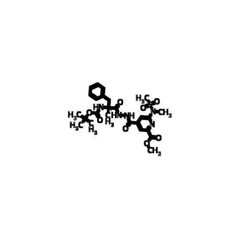 COC(=O)c1cc(C(=O)NNC(=O)[C@@](C)(Cc2ccccc2)NC(=O)OC(C)(C)C)cc(N(C)S(C)(=O)=O)n1